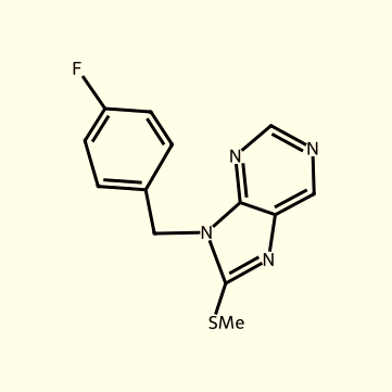 CSc1nc2cncnc2n1Cc1ccc(F)cc1